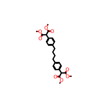 COC(=O)C(C(=O)OC)c1ccc(CCCCc2ccc(C(C(=O)OC)C(=O)OC)cc2)cc1